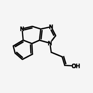 OC=CCn1cnc2cnc3ccccc3c21